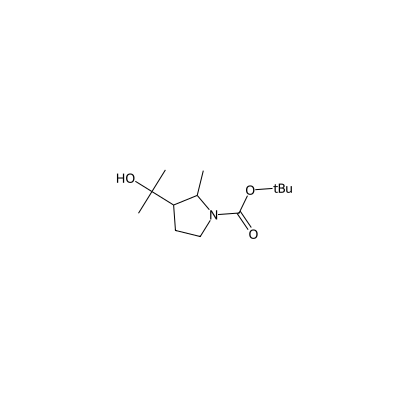 CC1C(C(C)(C)O)CCN1C(=O)OC(C)(C)C